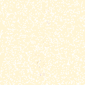 Cc1c(OCCCN2CCC(O)CC2)cccc1-c1cccc(-c2ccc3c(c2)CCNC3)c1C